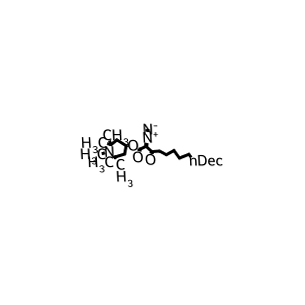 CCCCCCCCCCCCCCCC(=O)C(=[N+]=[N-])C(=O)OC1CC(C)(C)N(C)C(C)(C)C1